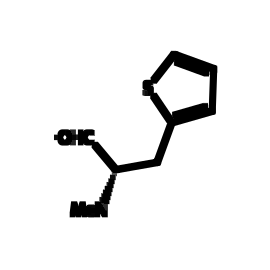 CN[C@H]([C]=O)Cc1cccs1